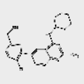 Nc1nc(NC2CCCCC2)c2cc(-c3cc(CO)ccc3Cl)ccc2n1